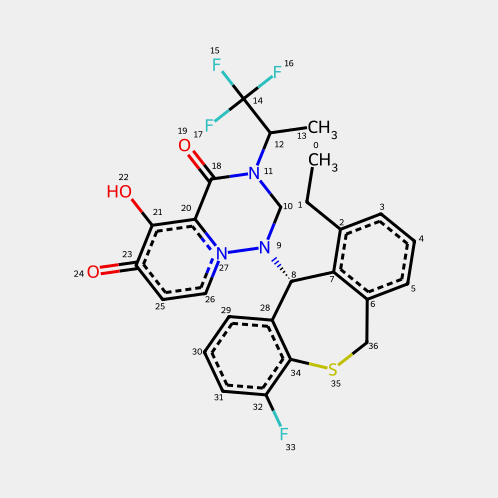 CCc1cccc2c1[C@@H](N1CN(C(C)C(F)(F)F)C(=O)c3c(O)c(=O)ccn31)c1cccc(F)c1SC2